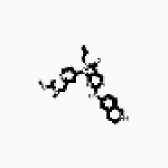 C=CCn1c(=O)c2cnc(Nc3ccc4c(c3)CCNC4)nc2n1-c1ccnc(CN(C)C(=O)OC)c1